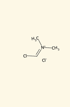 C[N+](C)=CCl.[Cl-]